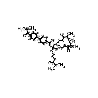 CC(C)C(=O)CCOCC(COCCC(=O)C(C)C)(COCCC(=O)C(C)C)NC(=O)c1ccc(-c2ccc(C(=O)C(C)C)cc2)cn1